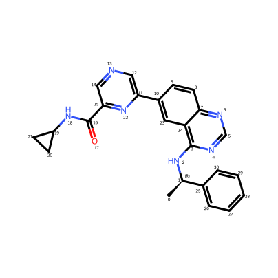 C[C@@H](Nc1ncnc2ccc(-c3cncc(C(=O)NC4CC4)n3)cc12)c1ccccc1